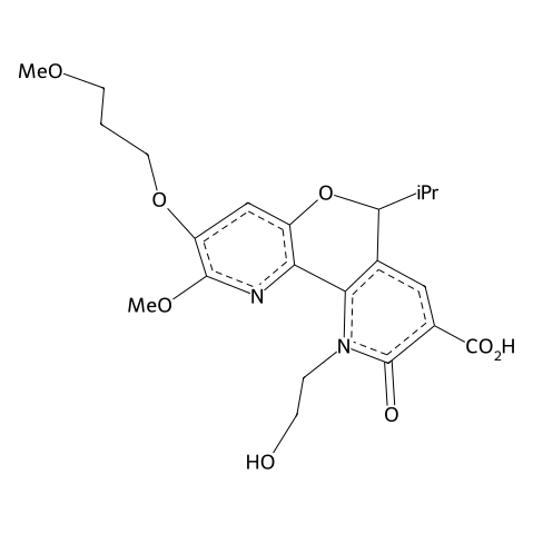 COCCCOc1cc2c(nc1OC)-c1c(cc(C(=O)O)c(=O)n1CCO)C(C(C)C)O2